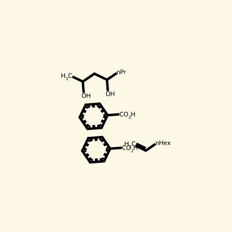 C=CCCCCCC.CCCC(O)CC(C)O.O=C(O)c1ccccc1.O=C(O)c1ccccc1